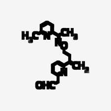 C=C(CCO/N=C(\C)c1cccc(C)n1)c1cccc(CC=O)n1